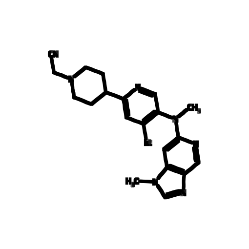 CCc1cc(C2CCN(CC#N)CC2)ncc1N(C)c1cc2c(cn1)ncn2C